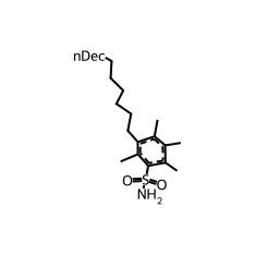 CCCCCCCCCCCCCCCCc1c(C)c(C)c(C)c(S(N)(=O)=O)c1C